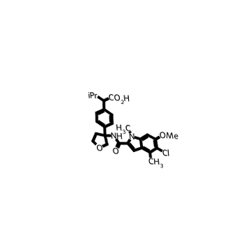 COc1cc2c(cc(C(=O)NC3(c4ccc(C(C(=O)O)C(C)C)cc4)CCOC3)n2C)c(C)c1Cl